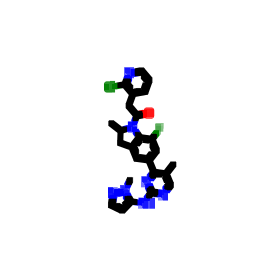 Cc1cnc(Nc2ccnn2C)nc1-c1cc(F)c2c(c1)CC(C)N2C(=O)Cc1cccnc1Cl